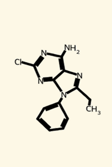 CCc1nc2c(N)nc(Cl)nc2n1-c1ccccc1